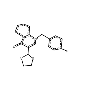 O=c1c(C2SCCS2)c[n+](Cc2ccc(F)cc2)c2ccccn12